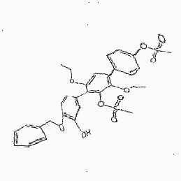 CCOc1cc(-c2ccc(OS(C)(=O)=O)cc2)c(OCC)c(OS(C)(=O)=O)c1-c1ccc(OCc2ccccc2)c(O)c1